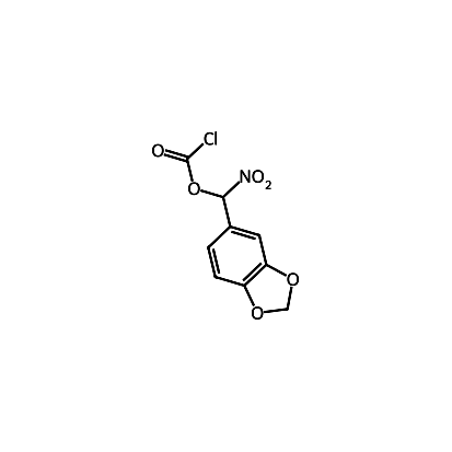 O=C(Cl)OC(c1ccc2c(c1)OCO2)[N+](=O)[O-]